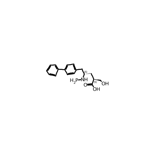 O=C(O)[C@H](CO)C[C@@H](Cc1ccc(-c2ccccc2)cc1)NP